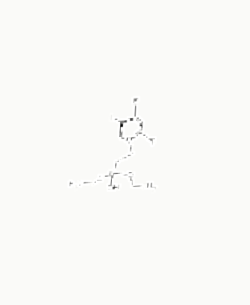 CCO[Si](O)(CCc1cc(F)c(F)cc1F)OCC